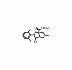 COC(=O)C12CN(C)CC1C(=O)N(c1c(C)cccc1C)C2